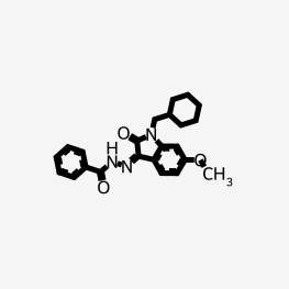 COc1ccc2c(c1)N(CC1CCCCC1)C(=O)C2=NNC(=O)c1ccccc1